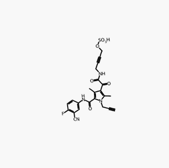 C#CCn1c(C)c(C(=O)C(=O)NCC#CCOS(=O)(=O)O)c(C)c1C(=O)Nc1ccc(F)c(C#N)c1